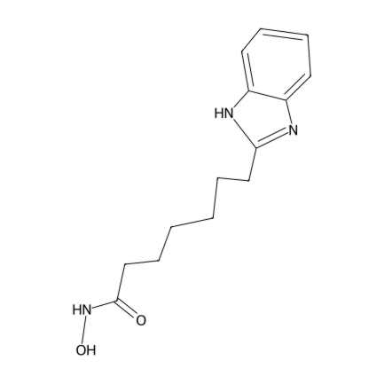 O=C(CCCCCCc1nc2ccccc2[nH]1)NO